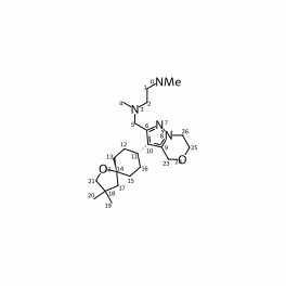 CNCCN(C)Cc1nn2c(c1[C@H]1CC[C@@]3(CC1)CC(C)(C)CO3)COCC2